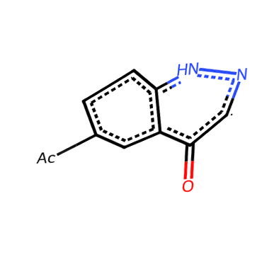 CC(=O)c1ccc2[nH]n[c]c(=O)c2c1